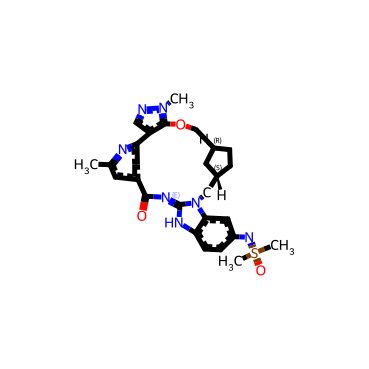 Cc1cc2cc(n1)-c1cnn(C)c1OC[C@@H]1CC[C@@H](C1)CN1/C(=N/C2=O)Nc2ccc(N=S(C)(C)=O)cc21